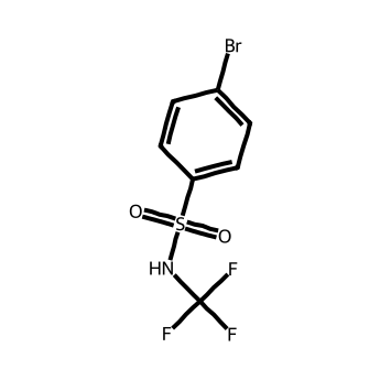 O=S(=O)(NC(F)(F)F)c1ccc(Br)cc1